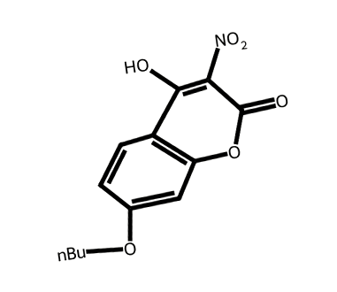 CCCCOc1ccc2c(O)c([N+](=O)[O-])c(=O)oc2c1